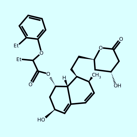 CCc1ccccc1OC(CC)C(=O)O[C@H]1C[C@H](O)C=C2C=C[C@H](C)[C@H](CC[C@@H]3C[C@@H](O)CC(=O)O3)[C@H]21